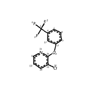 FC(F)(F)c1cccc(Oc2ncccc2Cl)c1